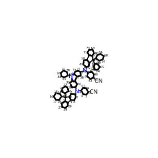 N#Cc1ccc(N(c2ccc3c(c2)C(c2ccccc2)(c2ccccc2)c2ccccc2-3)c2ccc3c(c2)c2cc(N(c4ccc(C#N)cc4)c4ccc5c(c4)C(c4ccccc4)(c4ccccc4)c4ccccc4-5)ccc2n3-c2ccccc2)cc1